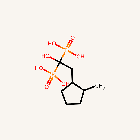 CC1CCCC1CC(O)(P(=O)(O)O)P(=O)(O)O